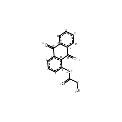 O=C(CBr)Nc1cccc2c1C(=O)c1ccccc1C2=O